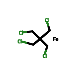 ClCC(CCl)(CCl)CCl.[Fe]